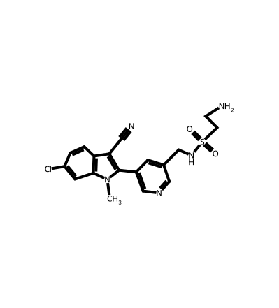 Cn1c(-c2cncc(CNS(=O)(=O)CCN)c2)c(C#N)c2ccc(Cl)cc21